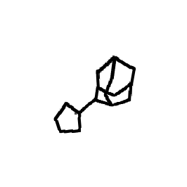 C1CC[C](C2C3CC4CC(C3)CC2C4)C1